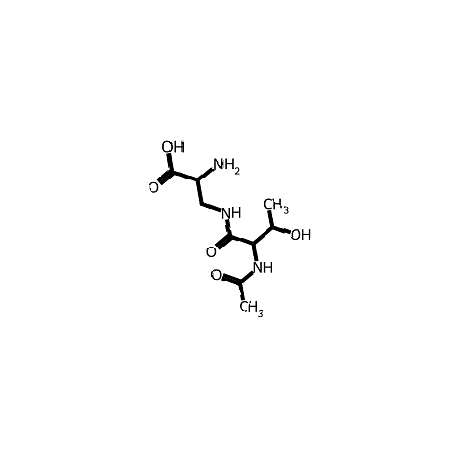 CC(=O)NC(C(=O)NCC(N)C(=O)O)C(C)O